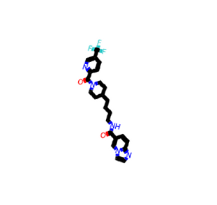 O=C(NCCCCC1CCN(C(=O)c2ccc(C(F)(F)F)cn2)CC1)c1ccc2nccn2c1